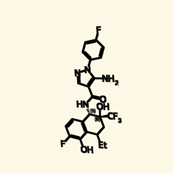 CCC1C[C@](O)(C(F)(F)F)[C@@H](NC(=O)c2cnn(-c3ccc(F)cc3)c2N)c2ccc(F)c(O)c21